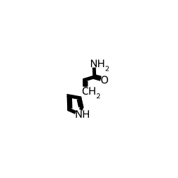 C=CC(N)=O.c1cc[nH]c1